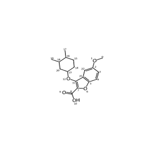 COc1ccc2oc(C(=O)O)c(OC3CCC(C)C(C)C3)c2c1